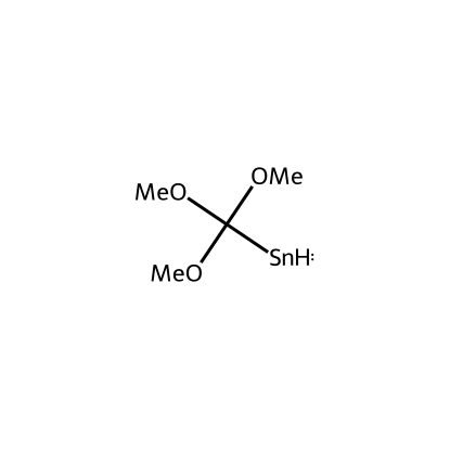 CO[C]([SnH])(OC)OC